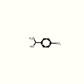 NC(O)c1ccc([N+](=O)[O-])cc1